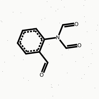 O=Cc1ccccc1N(C=O)C=O